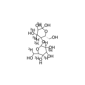 [2H]C(O)[C@@]1([2H])O[C@@]([2H])(O[C@]2([2H])[C@@H](CO)OC([2H])(O)[C@]([2H])(O)[C@@]2([2H])O)[C@]([2H])(O)[C@@]([2H])(O)[C@@]1([2H])O